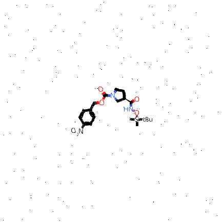 CC(C)(C)[Si](C)(C)ONC(=O)[C@@H]1CCN(C(=O)OCc2ccc([N+](=O)[O-])cc2)C1